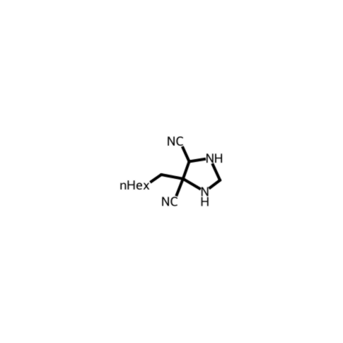 CCCCCCCC1(C#N)NCNC1C#N